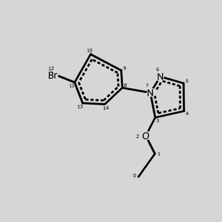 CCOc1ccnn1-c1ccc(Br)cc1